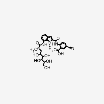 CN(CC(O)C(O)C(O)C(O)CO)C(=O)Nc1cccc2cc(C(=O)Nc3ccc(C#N)cc3C(=O)O)n(C)c12